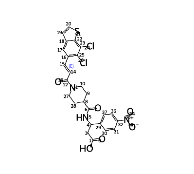 O=C(O)CC(NC(=O)C1CCN(C(=O)/C=C/c2cc3ccsc3c(Cl)c2Cl)CC1)c1ccc([N+](=O)[O-])cc1